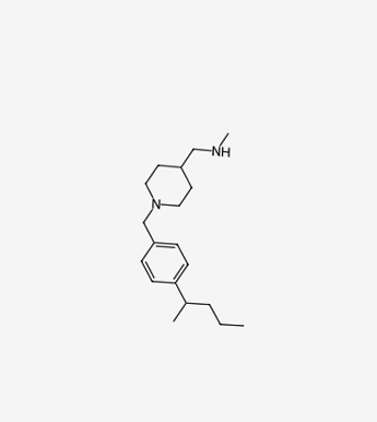 CCCC(C)c1ccc(CN2CCC(CNC)CC2)cc1